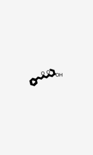 O=C(CCc1ccccc1)CC1CC(O)CCO1